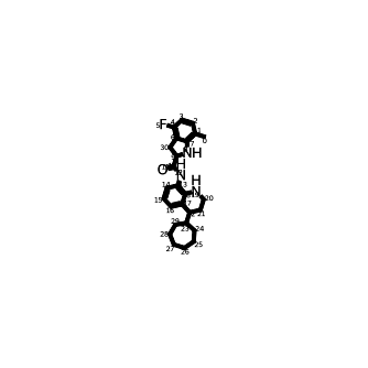 Cc1ccc(F)c2c1NC(C(=O)Nc1cccc3c1NCCC3C1CCCCCC1)C2